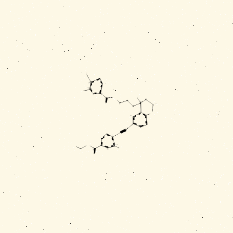 CCOC(=O)c1ccc(C#Cc2ccc3c(c2)C(C)(CCCOC(=O)c2ccc(C)c(F)c2)CCS3)c(F)c1